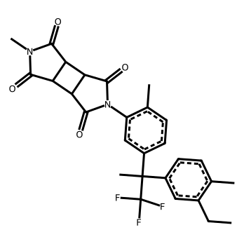 CCc1cc(C(C)(c2ccc(C)c(N3C(=O)C4C5C(=O)N(C)C(=O)C5C4C3=O)c2)C(F)(F)F)ccc1C